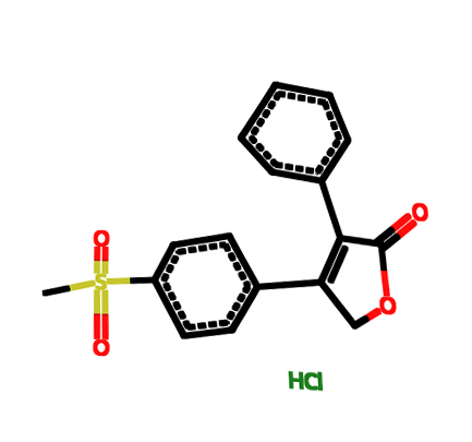 CS(=O)(=O)c1ccc(C2=C(c3ccccc3)C(=O)OC2)cc1.Cl